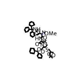 CO/N=C(\C(=O)NC1C(=O)N2C(C(=O)OC(c3ccccc3)c3ccccc3)=C(SCC3COC(C)(C)O3)CS[C@H]12)c1csc(NC(c2ccccc2)(c2ccccc2)c2ccccc2)n1